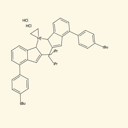 CC(C)CC1=Cc2c(-c3ccc(C(C)(C)C)cc3)cccc2[CH]1[Hf]1([CH]2C(CC(C)C)=Cc3c(-c4ccc(C(C)(C)C)cc4)cccc32)[CH2][CH2]1.Cl.Cl